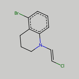 ClC=CN1CCCc2c(Br)cccc21